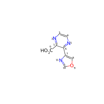 O=C(O)c1nccnc1-c1cocn1